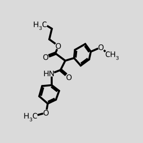 CCCOC(=O)C(C(=O)Nc1ccc(OC)cc1)c1ccc(OC)cc1